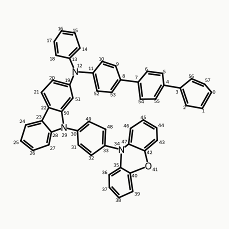 c1ccc(-c2ccc(-c3ccc(N(c4ccccc4)c4ccc5c6ccccc6n(-c6ccc(N7c8ccccc8Oc8ccccc87)cc6)c5c4)cc3)cc2)cc1